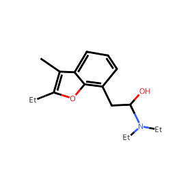 CCc1oc2c(CC(O)N(CC)CC)cccc2c1C